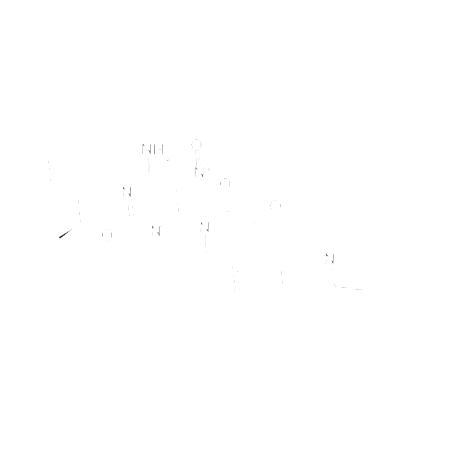 CCC[C@H](C)Oc1nc(N)c([N+](=O)[O-])c(N(CC=O)Cc2cccc(CN3CCCC3)c2)n1